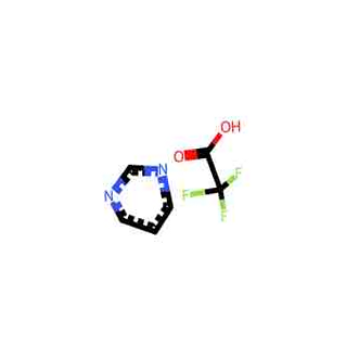 O=C(O)C(F)(F)F.c1cncnc1